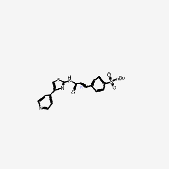 CCCCS(=O)(=O)c1ccc(/C=C/C(=O)Nc2nc(-c3ccncc3)cs2)cc1